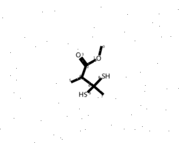 COC(=O)C(C)C(C)(S)S